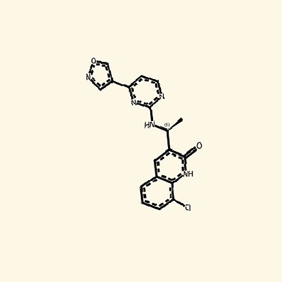 C[C@H](Nc1nccc(-c2cnoc2)n1)c1cc2cccc(Cl)c2[nH]c1=O